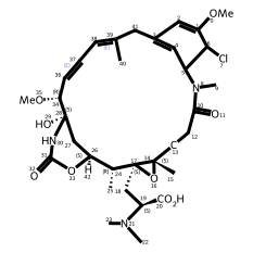 COC1=CC2=CC(C1Cl)N(C)C(=O)CC[C@]1(C)O[C@@]1(C[C@@H](C(=O)O)N(C)C)[C@H](C)[C@@H]1C[C@@](O)(NC(=O)O1)[C@H](OC)/C=C/C=C(\C)C2